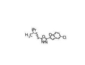 CC(C)C(C)SSc1nnc(-c2cc3cc(Cl)ccc3o2)o1